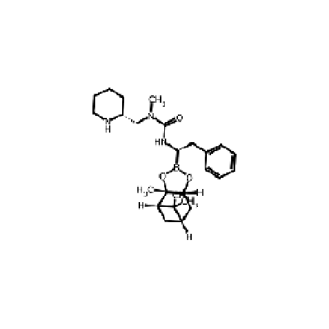 CN(C[C@H]1CCCCN1)C(=O)N[C@@H](Cc1ccccc1)B1O[C@@H]2C[C@@H]3C[C@@H](C3(C)C)[C@]2(C)O1